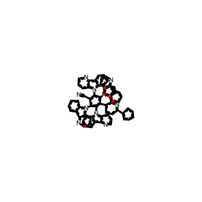 N#Cc1c(-n2c3ccccc3c3ncccc32)c(-n2c3ccccc3c3ncccc32)c(-c2ccc(-c3ccccc3)nc2-c2ccccc2)c(-n2c3ccccc3c3ncccc32)c1-n1c2ccccc2c2ncccc21